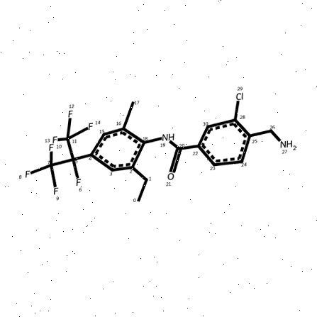 CCc1cc(C(F)(C(F)(F)F)C(F)(F)F)cc(C)c1NC(=O)c1ccc(CN)c(Cl)c1